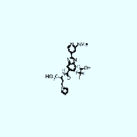 CNc1cc(-c2nc3cc(C(=O)N[C@@H](CCn4cccc4)C(=O)O)ccc3[nH]2)ccn1.O=C(O)C(F)(F)F